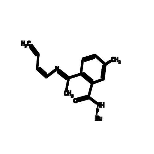 C=C/C=C\N=C(/C)c1ccc(C)cc1C(=O)N[C@@H](C)CC